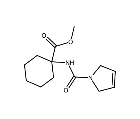 COC(=O)C1(NC(=O)N2CC=CC2)CCCCC1